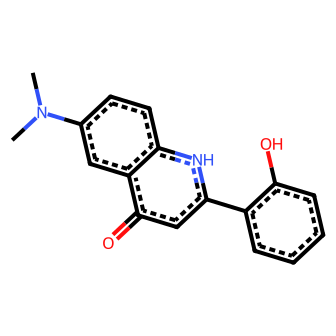 CN(C)c1ccc2[nH]c(-c3ccccc3O)cc(=O)c2c1